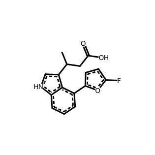 CC(CC(=O)O)c1c[nH]c2cccc(-c3ccc(F)o3)c12